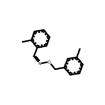 Cc1cccc(CO/N=[C]\c2ccccc2C)c1